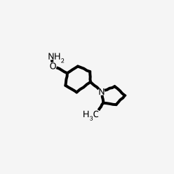 CC1CCCN1C1CCC(ON)CC1